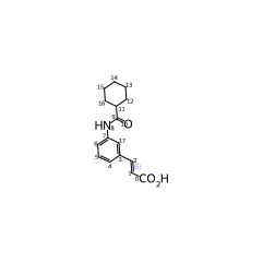 O=C(O)/C=C/c1cccc(NC(=O)C2CCCCC2)c1